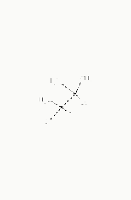 CCC(C)(C)C(C)(Cl)CC